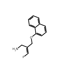 NC/C(=C\F)COc1cccc2ccccc12